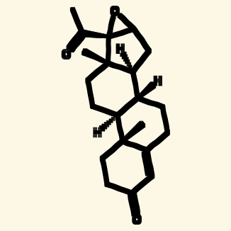 CC(=O)[C@@]12OC1C[C@H]1[C@@H]3CCC4=CC(=O)CC[C@]4(C)[C@H]3CC[C@@]12C